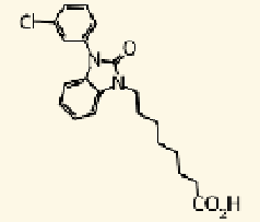 O=C(O)CCCCCCCn1c(=O)n(-c2cccc(Cl)c2)c2ccccc21